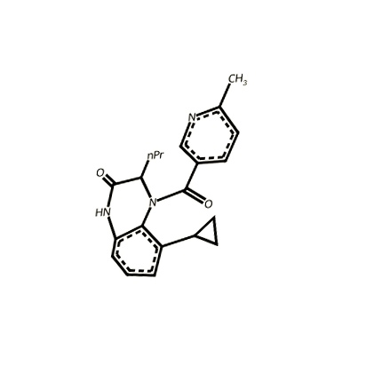 CCCC1C(=O)Nc2cccc(C3CC3)c2N1C(=O)c1ccc(C)nc1